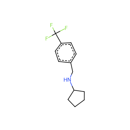 FC(F)(F)c1ccc(CNC2CCCC2)cc1